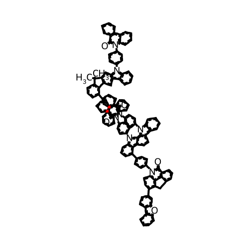 CC1(C)c2cc3c(cc2-c2c(-c4ccc5c(=O)n(-c6ccc(-n7c8ccccc8c8ccc9c%10c(-c%11ccc(-n%12c(=O)c%13cccc%14c%13c%13c(c(-c%15ccc%16c(c%15)oc%15ccccc%15%16)ccc%13%12)C%14)cc%11)cccc%10n(-c%10ccc(-n%11c(=O)c%12ccccc%12c%12ccccc%12%11)cc%10)c9c87)cc6)c6ccccc6c5c4)cccc21)c1ccccc1n3-c1ccc(-n2c(=O)c3ccccc3c3ccccc32)cc1